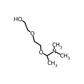 CC(OCCOCCO)N(C)C